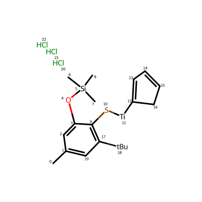 Cc1cc(O[Si](C)(C)C)c([S][Ti][C]2=CC=CC2)c(C(C)(C)C)c1.Cl.Cl.Cl